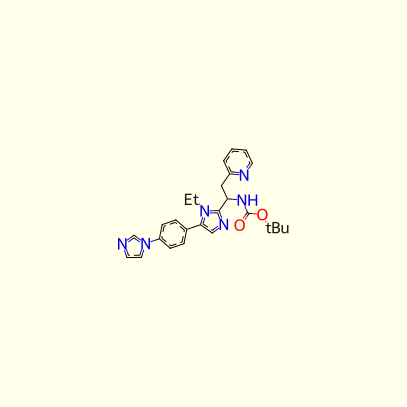 CCn1c(-c2ccc(-n3ccnc3)cc2)cnc1C(Cc1ccccn1)NC(=O)OC(C)(C)C